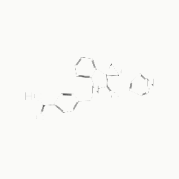 O=C(O)c1ccc(CN2C(=O)[C@]3(C[C@@H]3c3cccnc3)c3ccccc32)cc1